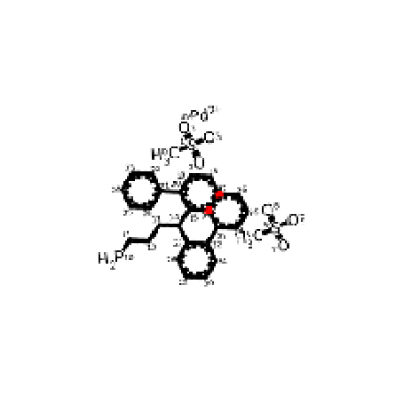 CS(=O)(=O)[O-].CS(=O)(=O)[O-].PCCCC(c1ccccc1-c1ccccc1)c1ccccc1-c1ccccc1.[Pd+2]